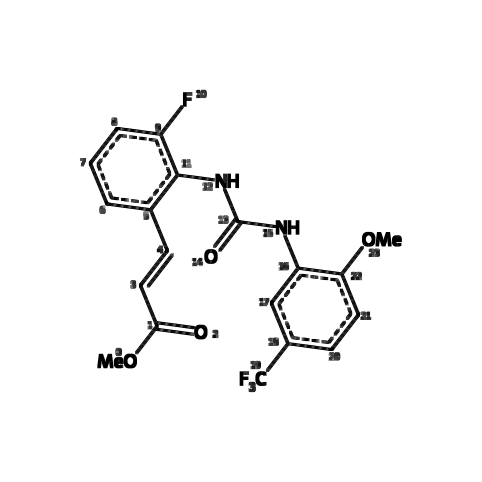 COC(=O)C=Cc1cccc(F)c1NC(=O)Nc1cc(C(F)(F)F)ccc1OC